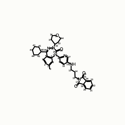 Cc1ccc2c(c1)N(c1ccc(NCCCN3C(=O)c4ccccc4C3=O)cn1)C(=O)N(C1CCOCC1)N=C2C1CCCCC1